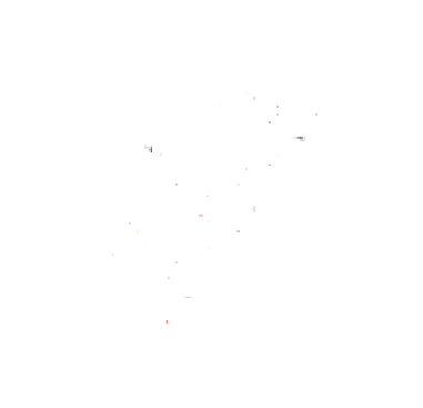 CC(COc1ccccc1)NC(C)C(O)c1ccc(O)cc1.CS(=O)(=O)OCCCCOS(C)(=O)=O.[BiH3]